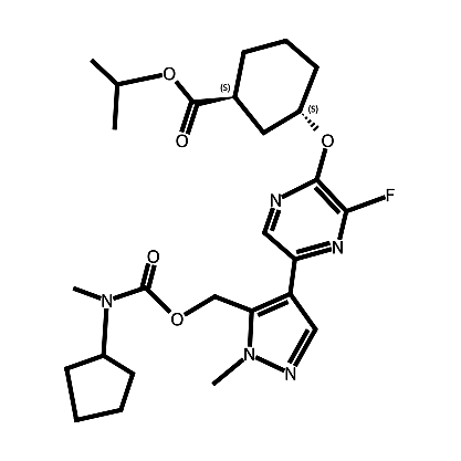 CC(C)OC(=O)[C@H]1CCC[C@H](Oc2ncc(-c3cnn(C)c3COC(=O)N(C)C3CCCC3)nc2F)C1